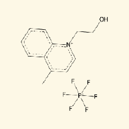 Cc1cc[n+](CCO)c2ccccc12.F[P-](F)(F)(F)(F)F